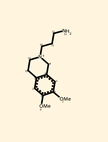 COc1cc2c(cc1OC)CN(CCCN)CC2